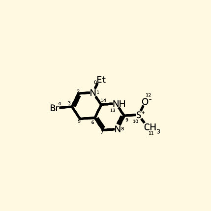 CCN1C=C(Br)CC2=CN=C([S+](C)[O-])NC21